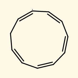 [C]1=CCC=CC=CC=CC=C1